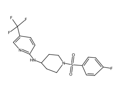 O=S(=O)(c1ccc(F)cc1)N1CCC(Nc2ccc(C(F)(F)F)cn2)CC1